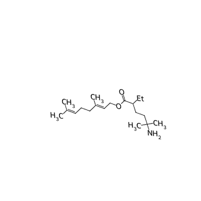 CCC(CCC(C)(C)N)C(=O)OC/C=C(\C)CCC=C(C)C